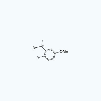 COc1cc[c]([Y])c([C@@H](C)Br)c1